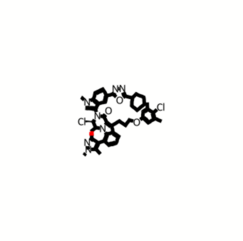 Cc1cc(OCCCc2c3n(c4c(-c5c(C)nn(C)c5C)cccc24)C(C)[C@@H](Cl)N(c2cn(C)c4ccc(-c5nnc(C6CCCCC6)o5)cc24)C3=O)cc(C)c1Cl